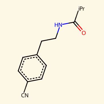 CC(C)C(=O)NCCc1ccc(C#N)cc1